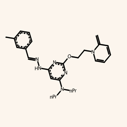 C=C1C=CC=CN1CCOc1nc(N/N=C/c2cccc(C)c2)cc(N(CCC)CCC)n1